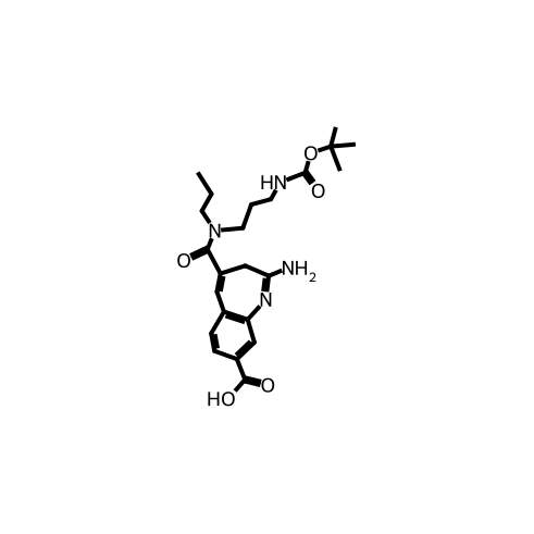 CCCN(CCCNC(=O)OC(C)(C)C)C(=O)C1=Cc2ccc(C(=O)O)cc2N=C(N)C1